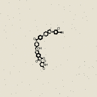 C[C@H]1CC2(CCN(c3ccc(C(=O)N4CCC(O)(CN5Cc6cc7c(cc6C5)C(=O)N(C5CCC(=O)NC5=O)C7=O)CC4)cc3)CC2)CN1c1ccc(C#N)c(Cl)c1